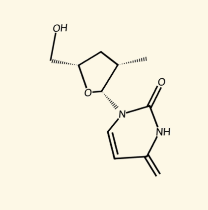 C=C1C=CN([C@@H]2O[C@H](CO)C[C@@H]2C)C(=O)N1